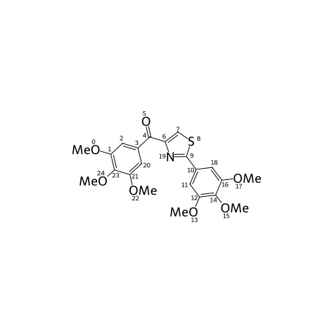 COc1cc(C(=O)c2csc(-c3cc(OC)c(OC)c(OC)c3)n2)cc(OC)c1OC